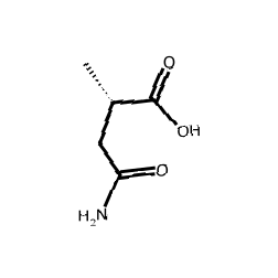 C[C@@H](CC(N)=O)C(=O)O